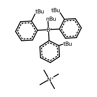 CCCC[B-](c1ccccc1C(C)(C)C)(c1ccccc1C(C)(C)C)c1ccccc1C(C)(C)C.C[N+](C)(C)C